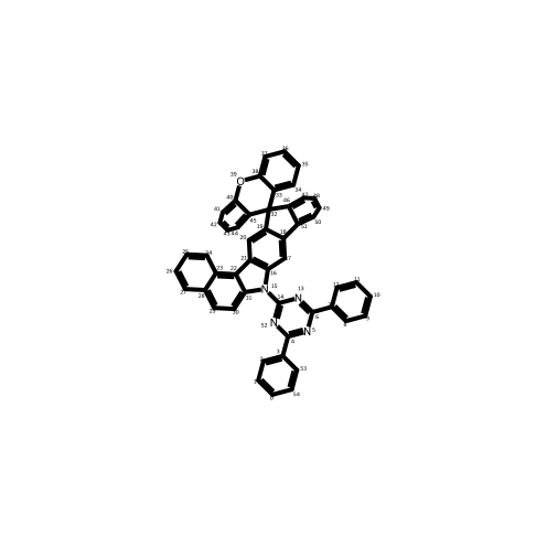 c1ccc(-c2nc(-c3ccccc3)nc(-n3c4cc5c(cc4c4c6ccccc6ccc43)C3(c4ccccc4Oc4ccccc43)c3ccccc3-5)n2)cc1